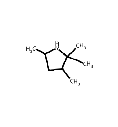 CC1CC(C)C(C)(C)N1